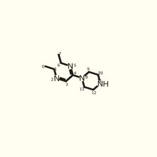 CC/N=C\C(=N/CC)N1CCNCC1